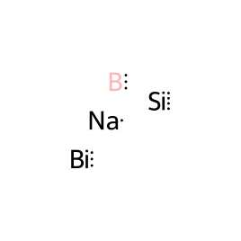 [B].[Bi].[Na].[Si]